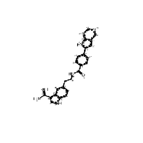 N=C(N)c1c[nH]c2ccc(CCNC(=O)c3ccc(-c4cc5cncnc5[nH]4)cc3)cc12